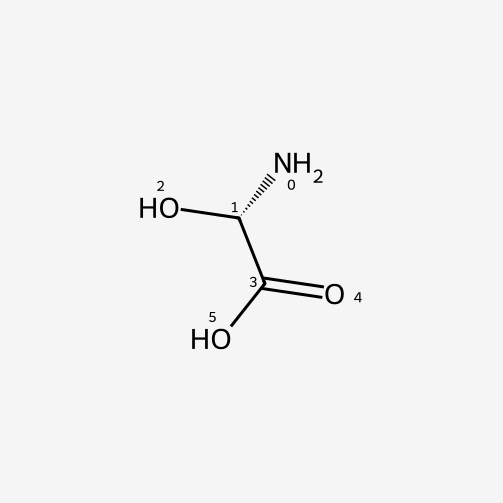 N[C@@H](O)C(=O)O